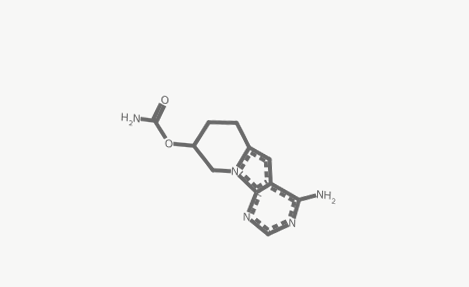 NC(=O)OC1CCc2cc3c(N)ncnc3n2C1